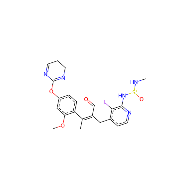 CN[S+]([O-])Nc1nccc(C/C(C=O)=C(\C)c2ccc(OC3=NCCC=N3)cc2OC)c1I